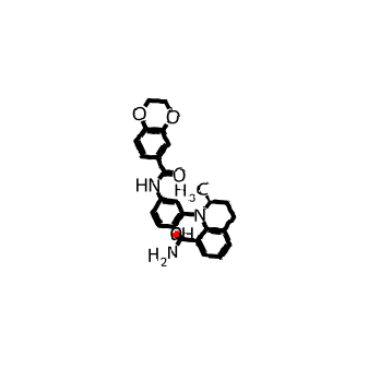 Cc1ccc(NC(=O)c2ccc3c(c2)OCCO3)cc1N1c2c(cccc2C(N)=O)CC[C@@H]1C